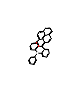 c1ccc(P(c2ccccc2)c2ccccc2-c2ccc3ccc4cccc5ccc2c3c45)cc1